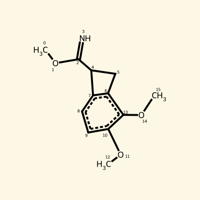 COC(=N)C1Cc2c1ccc(OC)c2OC